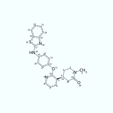 CN1CC[C@H](c2cccnc2Oc2ccc(Nc3nc4ccccc4s3)cc2)CC1=O